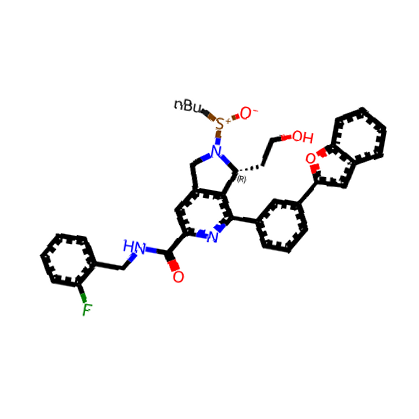 CCCC[S+]([O-])N1Cc2cc(C(=O)NCc3ccccc3F)nc(-c3cccc(-c4cc5ccccc5o4)c3)c2[C@H]1CCO